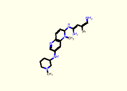 CC(C)C(=C/N)/C=C(\N)NC1C=Cc2ncc(NC3CCCN(C)C3)cc2N1C